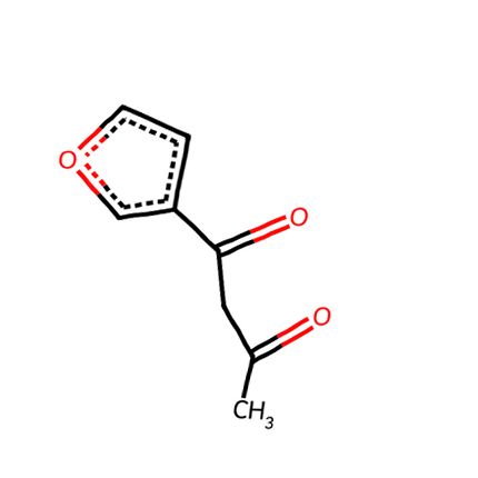 CC(=O)CC(=O)c1ccoc1